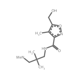 CNCC(C)(C)CNC(=O)c1noc(CO)c1C